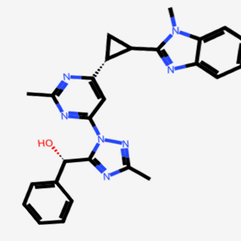 Cc1nc([C@@H]2CC2c2nc3ccccc3n2C)cc(-n2nc(C)nc2[C@@H](O)c2ccccc2)n1